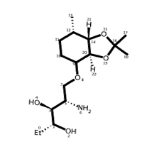 CC[C@@H](O)[C@@H](O)[C@@H](N)COC1CC[C@H](C)[C@@H]2OC(C)(C)O[C@@H]12